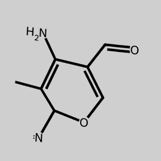 CC1=C(N)C(C=O)=COC1[N]